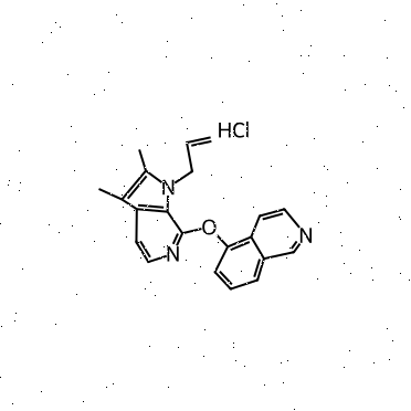 C=CCn1c(C)c(C)c2ccnc(Oc3cccc4cnccc34)c21.Cl